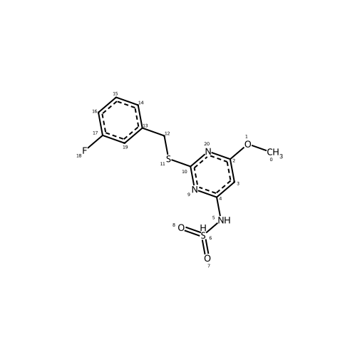 COc1cc(N[SH](=O)=O)nc(SCc2cccc(F)c2)n1